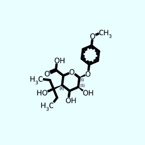 CCC(O)(CC)[C@H]1C(C(=O)O)O[C@@H](Oc2ccc(OC)cc2)[C@@H](O)C1O